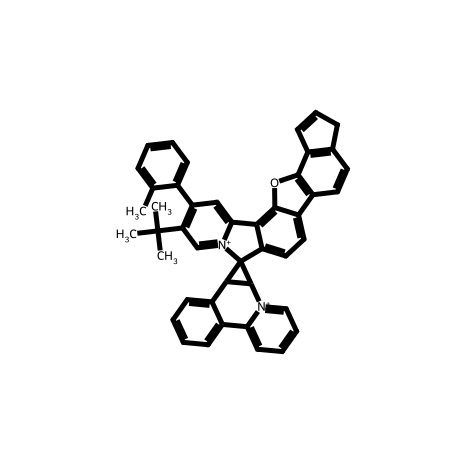 Cc1ccccc1-c1cc2[n+](cc1C(C)(C)C)C1(c3ccc4c(oc5c6c(ccc54)CC=C6)c3-2)C2c3ccccc3-c3cccc[n+]3C21